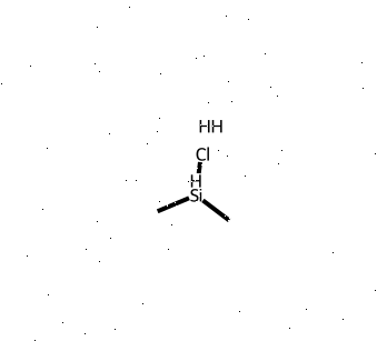 C[SiH](C)Cl.[HH]